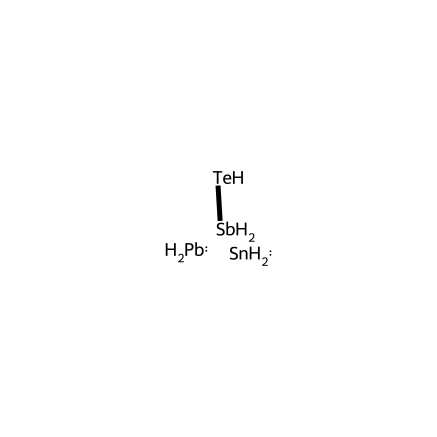 [PbH2].[SbH2][TeH].[SnH2]